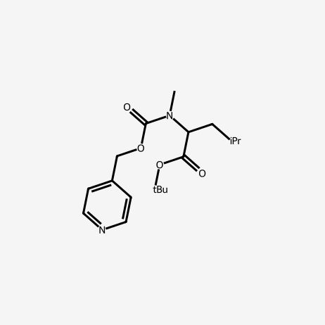 CC(C)CC(C(=O)OC(C)(C)C)N(C)C(=O)OCc1ccncc1